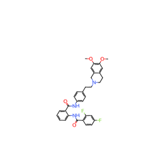 COc1cc2c(cc1OC)CN(CCc1ccc(NC(=O)c3ccccc3NC(=O)c3ccc(F)cc3F)cc1)CC2